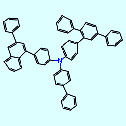 c1ccc(-c2ccc(N(c3ccc(-c4cc(-c5ccccc5)ccc4-c4ccccc4)cc3)c3ccc(-c4cc(-c5ccccc5)cc5ccccc45)cc3)cc2)cc1